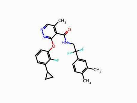 Cc1ccc(C(F)(F)CNC(=O)c2c(C)cnnc2Oc2cccc(C3CC3)c2F)cc1C